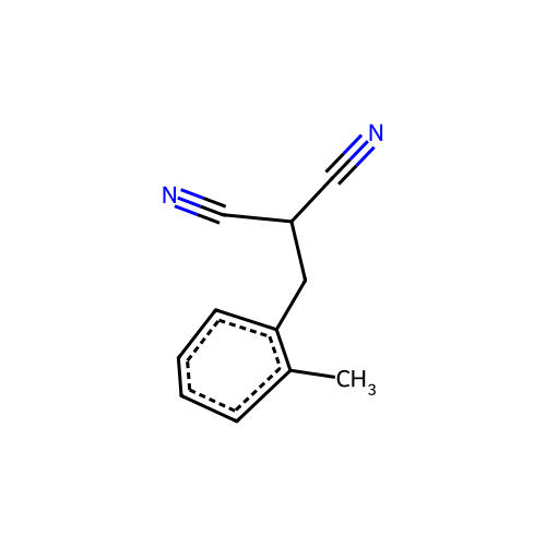 Cc1ccccc1CC(C#N)C#N